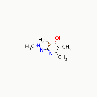 C/N=N/C(=N/C(C)[C@@H](C)CO)SC